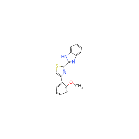 COc1ccccc1-c1csc(-c2nc3ccccc3[nH]2)n1